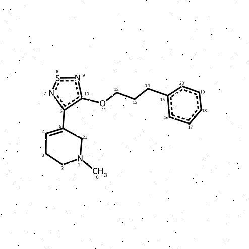 CN1CCC=C(c2nsnc2OCCCc2ccccc2)C1